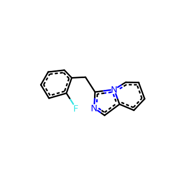 Fc1ccccc1Cc1ncc2ccccn12